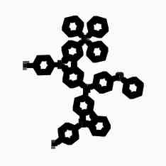 Fc1ccc(-n2c3ccccc3c3cc(N(c4ccc(Oc5ccccc5)cc4)c4ccc5c(c4)c4cc([Si](c6ccccc6)(c6ccccc6)c6ccccc6)ccc4n5-c4ccc(F)cc4)ccc32)cc1